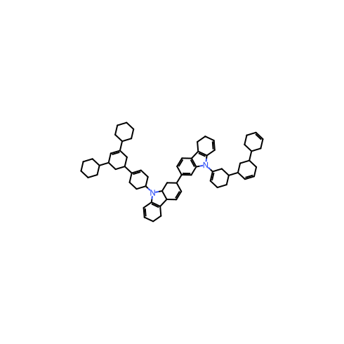 C1=CC2=C(CC1)C1C=CC(c3ccc4c5c(n(C6=CCCC(C7C=CCC(C8CC=CCC8)C7)C6)c4c3)C=CCC5)CC1N2C1CC=C(C2CC(C3CCCCC3)=CC(C3CCCCC3)C2)CC1